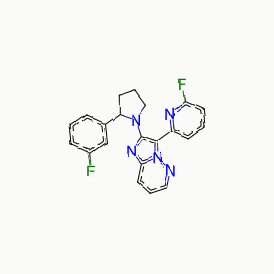 Fc1cccc(C2CCCN2c2nc3cccnn3c2-c2cccc(F)n2)c1